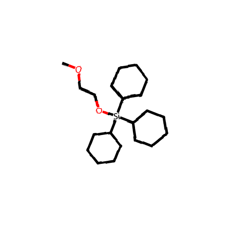 COCCO[Si](C1CCCCC1)(C1CCCCC1)C1CCCCC1